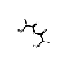 C[C@H](N)C(=O)[N]C(=O)[C@H](C)N